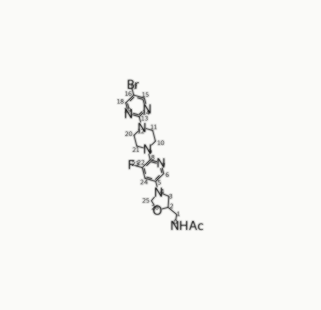 CC(=O)NCC1CN(c2cnc(N3CCN(c4ncc(Br)cn4)CC3)c(F)c2)CO1